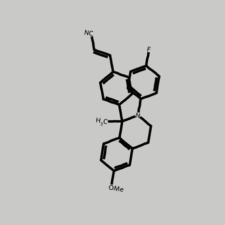 COc1ccc2c(c1)CCN(c1ccc(F)cc1)C2(C)c1ccc(C=CC#N)cc1